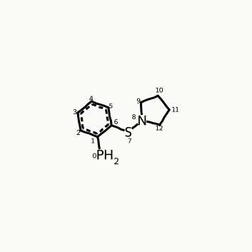 Pc1ccccc1SN1CCCC1